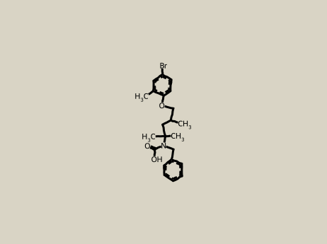 Cc1cc(Br)ccc1OCC(C)CC(C)(C)N(Cc1ccccc1)C(=O)O